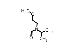 COCCN(C=O)C(C)C